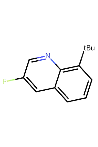 CC(C)(C)c1cccc2cc(F)cnc12